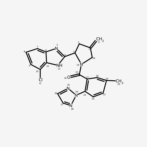 C=C1CC(c2nc3cccc(Cl)c3[nH]2)N(C(=O)c2cc(C)ccc2-n2nccn2)C1